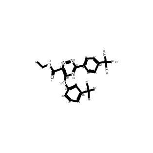 CCOC(=O)c1nnc(-c2ccc(C(F)(F)F)cc2)nc1Oc1cccc(C(C)(C)C)c1